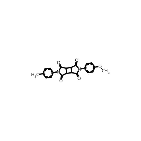 COc1ccc(N2C(=O)C3C4C(=O)N(c5ccc(C)cc5)C(=O)C4C3C2=O)cc1